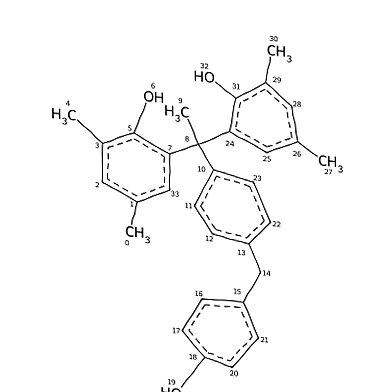 Cc1cc(C)c(O)c(C(C)(c2ccc(Cc3ccc(O)cc3)cc2)c2cc(C)cc(C)c2O)c1